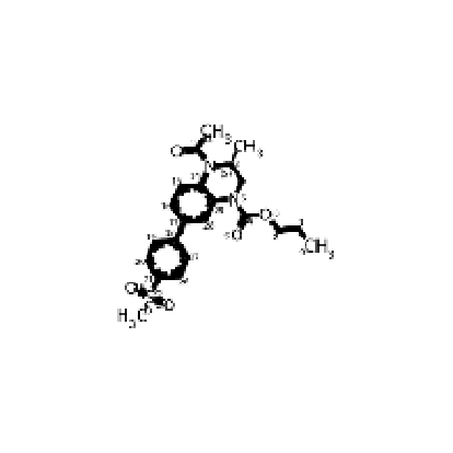 CCCOC(=O)N1C[C@H](C)N(C(C)=O)c2ccc(-c3ccc(S(C)(=O)=O)cc3)cc21